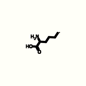 [CH2]CCCC(N)C(=O)O